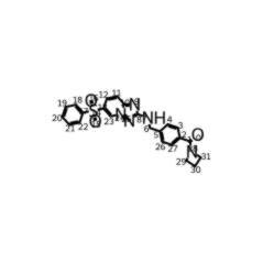 O=C(c1ccc(CNc2nc3ccc(S(=O)(=O)c4ccccc4)cn3n2)cc1)N1CCC1